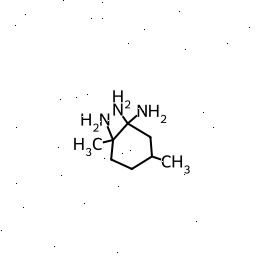 CC1CCC(C)(N)C(N)(N)C1